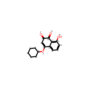 O=C1C=C(OC2CCCCC2)c2cccc(O)c2C1=O